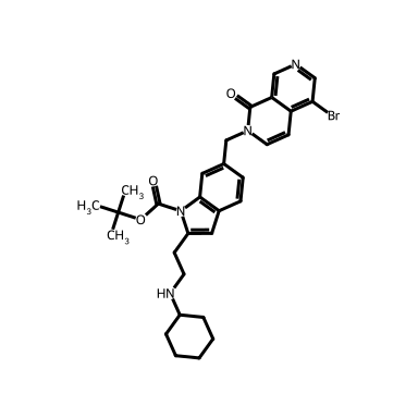 CC(C)(C)OC(=O)n1c(CCNC2CCCCC2)cc2ccc(Cn3ccc4c(Br)cncc4c3=O)cc21